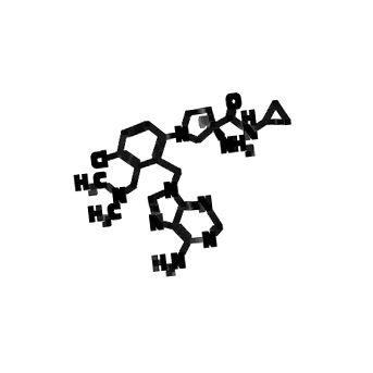 CN(C)Cc1c(Cl)ccc(N2CC[C@](N)(C(=O)NC3CC3)C2)c1Cn1cnc2c(N)ncnc21